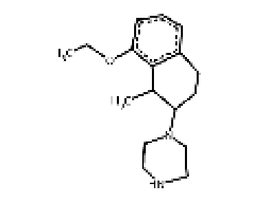 CCOc1cccc2c1C(C)C(N1CCNCC1)CC2